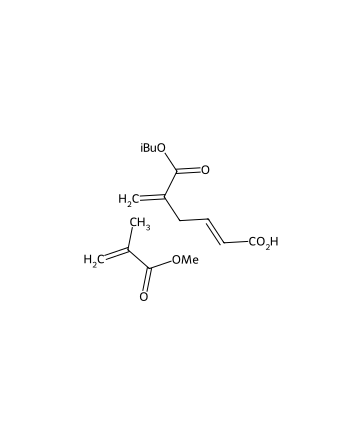 C=C(C)C(=O)OC.C=C(CC=CC(=O)O)C(=O)OCC(C)C